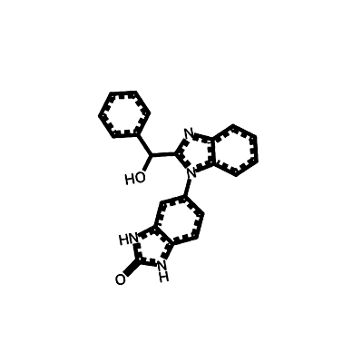 O=c1[nH]c2ccc(-n3c(C(O)c4ccccc4)nc4ccccc43)cc2[nH]1